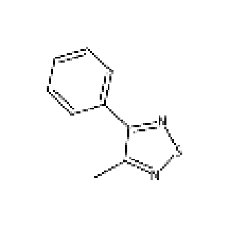 Cc1nsnc1-c1ccccc1